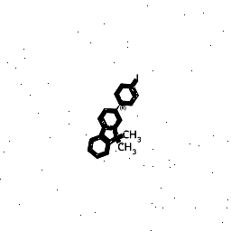 CC1(C)C2=C(CCCC2)C2=CCC([C@H]3CC=C(I)CC3)CC21